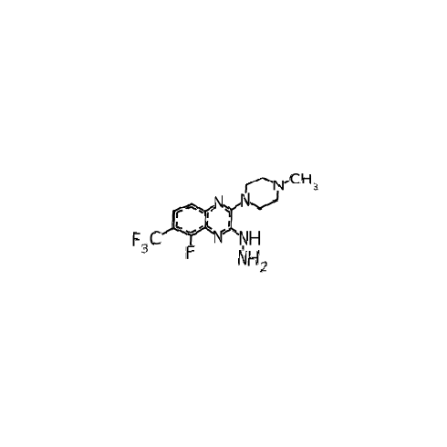 CN1CCN(c2nc3ccc(C(F)(F)F)c(F)c3nc2NN)CC1